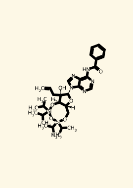 C=CC[C@]1(O)[C@@H]2O[Si](C(C)C)(C(C)C)O[Si](C(C)C)(C(C)C)OC[C@H]2O[C@H]1n1cnc2c(NC(=O)c3ccccc3)ncnc21